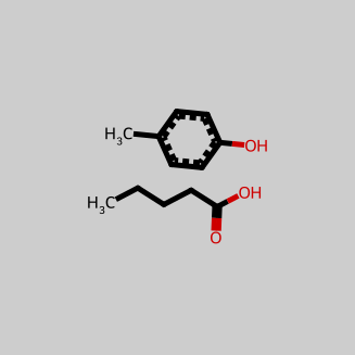 CCCCC(=O)O.Cc1ccc(O)cc1